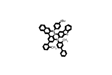 Cc1ccccc1-c1cc2c3c(c1)N(c1ccc(-c4ccccc4)cc1C)c1cc4sc5ccccc5c4cc1B3N(c1ccc(C(C)(C)C)cc1)c1cc3ccccc3cc1-2